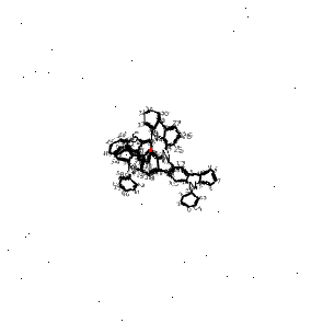 c1ccc(-n2c3ccccc3c3cc4c(cc32)c2cc3c(cc2n4-c2cccc4c5ccccc5n(-c5cccc6c5sc5ccccc56)c24)c2ccccc2n3-c2ccccc2)cc1